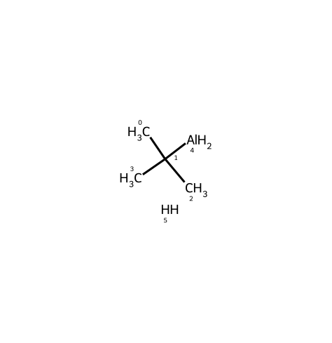 C[C](C)(C)[AlH2].[HH]